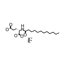 CCCCCCCCCCCC(=O)N[C@@H](CCC(=O)[O-])C(=O)[O-].[K+].[K+]